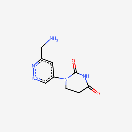 NCc1cc(N2CCC(=O)NC2=O)cnn1